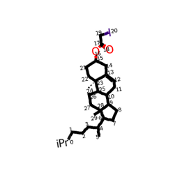 CC(C)CCCC(C)C1CCC2C3CC=C4CC(OC(=O)CI)CC[C@]4(C)C3CCC12C